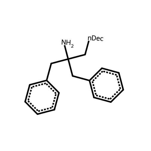 CCCCCCCCCCCC(N)(Cc1ccccc1)Cc1ccccc1